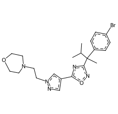 CC(C)C(C)(c1ccc(Br)cc1)c1noc(-c2cnn(CCN3CCOCC3)c2)n1